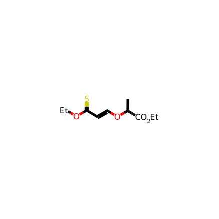 CCOC(=O)C(C)OC=CC(=S)OCC